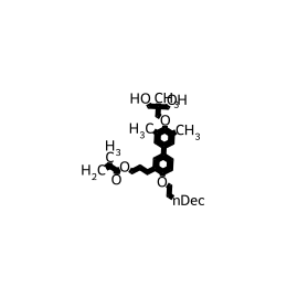 C=C(C)C(=O)OCCCc1cc(-c2cc(C)c(OCC(C)(CO)CO)c(C)c2)ccc1OCCCCCCCCCCCC